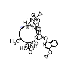 C[C@H]1CC/C=C\[C@@H]2C[C@@]2(C(=O)NS(=O)(=O)C2CC2)NC(=O)[C@@H]2C[C@@H](Oc3ncc(OC4CC4)c4ccccc34)CN2C(=O)[C@@H](NC(=O)O)[C@H](C)C1